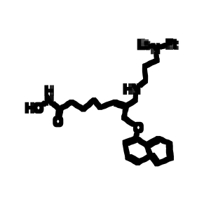 CCN(CC)CCCNC/C(=C/CCCCC(=O)NO)COc1cccc2ccccc12